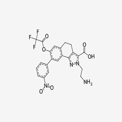 NCCn1nc2c(c1C(=O)O)CCc1cc(OC(=O)C(F)(F)F)c(-c3cccc([N+](=O)[O-])c3)cc1-2